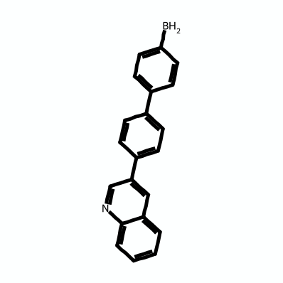 Bc1ccc(-c2ccc(-c3cnc4ccccc4c3)cc2)cc1